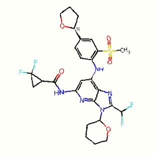 CS(=O)(=O)c1cc([C@@H]2CCCO2)ccc1Nc1cc(NC(=O)C2CC2(F)F)nc2c1nc(C(F)F)n2C1CCCCO1